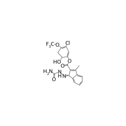 CC1=C(C(=O)OC2=CC(Cl)=C(OC(F)(F)F)CC2O)C(=NNC(N)=O)c2ccccc21